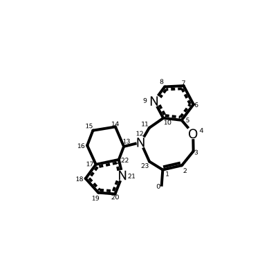 C/C1=C/COc2cccnc2CN(C2CCCc3cccnc32)C1